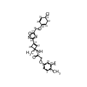 Cc1ccc(OCC(=O)NC2(C)C=C(c3noc(COC4=CCC(Cl)C=C4)n3)C2)cc1F